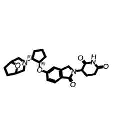 O=C1CCC(N2Cc3cc(O[C@@H]4CCC[C@H]4N4CC5CCC(C4)O5)ccc3C2=O)C(=O)N1